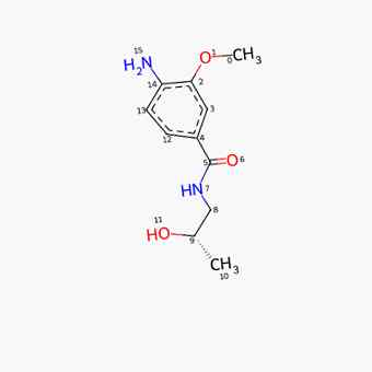 COc1cc(C(=O)NC[C@H](C)O)ccc1N